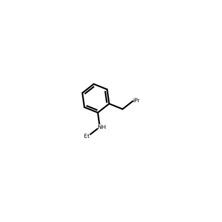 CCNc1ccccc1CC(C)C